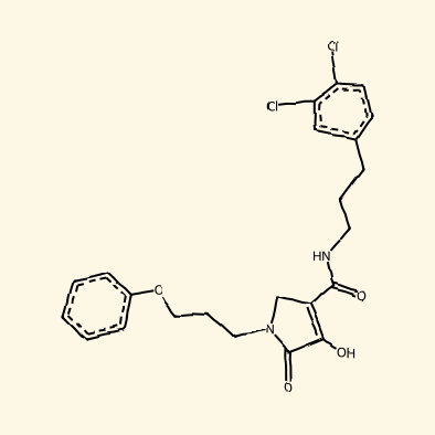 O=C(NCCCc1ccc(Cl)c(Cl)c1)C1=C(O)C(=O)N(CCCOc2ccccc2)C1